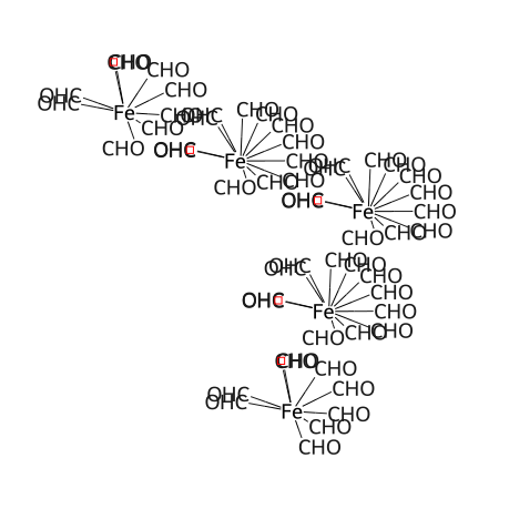 O=[CH][Fe]([CH]=O)([CH]=O)([CH]=O)([CH]=O)([CH]=O)([CH]=O)([CH]=O)([CH]=O)([CH]=O)([CH]=O)[CH]=O.O=[CH][Fe]([CH]=O)([CH]=O)([CH]=O)([CH]=O)([CH]=O)([CH]=O)([CH]=O)([CH]=O)([CH]=O)([CH]=O)[CH]=O.O=[CH][Fe]([CH]=O)([CH]=O)([CH]=O)([CH]=O)([CH]=O)([CH]=O)([CH]=O)([CH]=O)([CH]=O)([CH]=O)[CH]=O.O=[CH][Fe]([CH]=O)([CH]=O)([CH]=O)([CH]=O)([CH]=O)([CH]=O)([CH]=O)[CH]=O.O=[CH][Fe]([CH]=O)([CH]=O)([CH]=O)([CH]=O)([CH]=O)([CH]=O)([CH]=O)[CH]=O